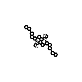 c1ccc2cc(-c3ccc4c(ccc5cc(-n6c7cccnc7c7c8ccccc8c8c(c9ccccc9c9c%10ncccc%10n(-c%10ccc%11c(ccc%12cc(-c%13ccc%14ccccc%14c%13)ccc%12%11)c%10)c98)c76)ccc54)c3)ccc2c1